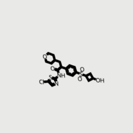 O=C(Nc1ncc(Cl)s1)C(CC1CCOCC1)c1ccc(S(=O)(=O)C2CC(O)C2)cc1